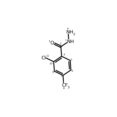 NNC(=O)c1ccc(C(F)(F)F)cc1Cl